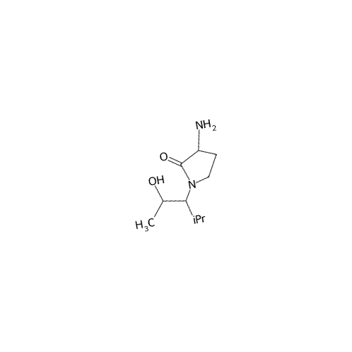 CC(C)C(C(C)O)N1CCC(N)C1=O